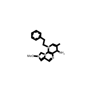 CON1C=C2C=NC3=C(N(CCc4ccccc4)C=C(C)C3N)N2C1